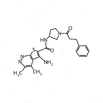 Cc1nnc2sc(C(=O)NC3CCN(C(=O)CCc4ccccc4)C3)c(N)c2c1C